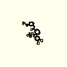 CC(C)Oc1cccc(CC(=O)N2C=CC=CC(c3ccc(Cl)c(Cl)c3)(C(C)OS(C)(=O)=O)C2)c1